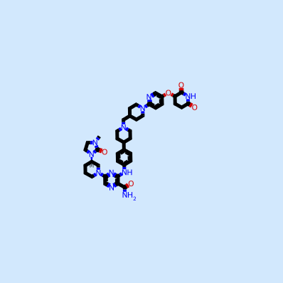 CN1CCN([C@@H]2CCCN(c3cnc(C(N)=O)c(Nc4ccc(C5CCN(CC6CCN(c7ccc(OC8CCC(=O)NC8=O)cn7)CC6)CC5)cc4)n3)C2)C1=O